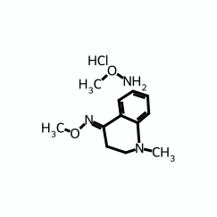 CON.CON=C1CCN(C)c2ccccc21.Cl